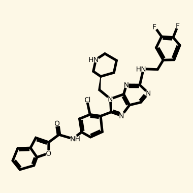 O=C(Nc1ccc(-c2nc3cnc(NCc4ccc(F)c(F)c4)nc3n2C[C@@H]2CCCNC2)c(Cl)c1)c1cc2ccccc2o1